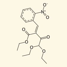 CCOC(=O)C(=Cc1ccccc1[N+](=O)[O-])C(=O)C(OCC)OCC